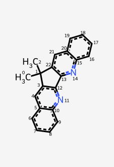 CC1(C)c2cc3ccccc3nc2-c2nc3ccccc3cc21